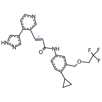 O=C(/C=C/c1cnccc1-c1cn[nH]c1)Nc1ccc(C2CC2)c(COCC(F)(F)F)c1